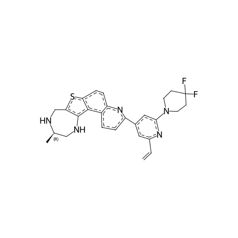 C=Cc1cc(-c2ccc3c(ccc4sc5c(c43)NC[C@@H](C)NC5)n2)cc(N2CCC(F)(F)CC2)n1